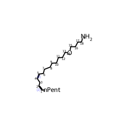 CCCCC/C=C\C/C=C\CCCCCCCCOCCCCN